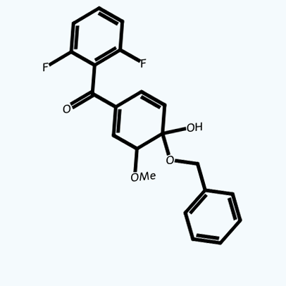 COC1C=C(C(=O)c2c(F)cccc2F)C=CC1(O)OCc1ccccc1